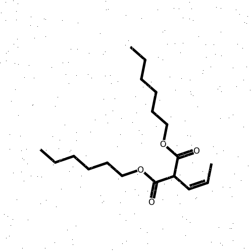 C/C=C\C(C(=O)OCCCCCC)C(=O)OCCCCCC